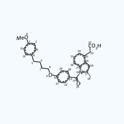 COc1ccc(CCCCOc2ccc(C(=O)n3c(C)cc4c(CC(=O)O)cccc43)cc2)cc1